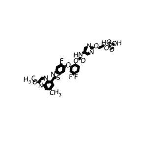 COc1cnc2c(-c3nc4cc(F)c(O[C@H]5CC(F)(F)CC[C@H]5OC(=O)Nc5cnc(OCCOP(=O)(O)O)nc5)cc4s3)cc(C)cc2n1